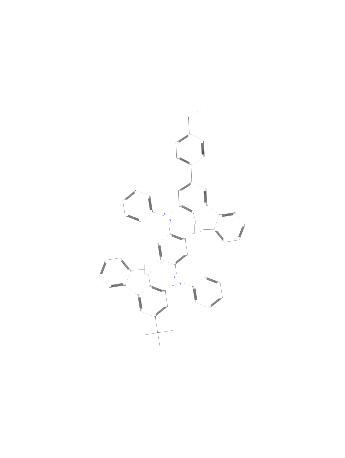 CC(C)c1ccc(-c2cc3c4c(c2)N(c2ccccc2)c2cc5c(cc2B4c2ccccc2-3)N(c2ccccc2)c2cc(C(C)(C)C)cc3c2B5c2ccccc2-3)cc1